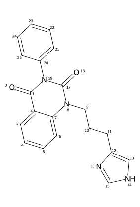 O=c1c2ccccc2n(CCCc2c[nH]cn2)c(=O)n1-c1ccccc1